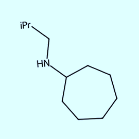 CC(C)CNC1CCCCCC1